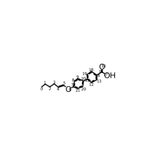 CCCCC=COc1ccc(-c2ccc(C(=O)O)cc2)cc1